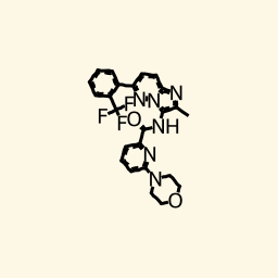 Cc1nc2ccc(-c3ccccc3C(F)(F)F)nn2c1NC(=O)c1cccc(N2CCOCC2)n1